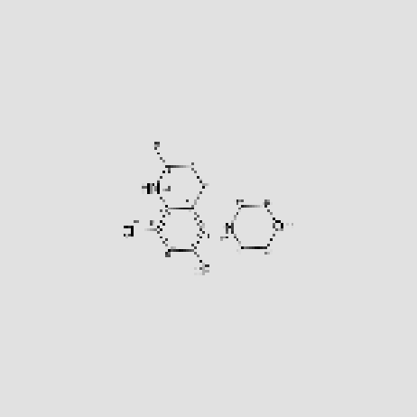 CC1CCc2c(c(Cl)cc(F)c2N2CCOCC2)N1